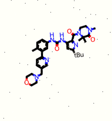 Cc1ccc(NC(=O)NC2=CC(C(C)(C)C)N=C2C(=O)N2CCN(C)C(=O)C2(C)C)cc1-c1ccc(CN2CCOCC2)cn1